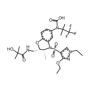 CCOc1nn(CC)cc1S(=O)(=O)N1c2cc(N(C(=O)O)C(C)(C)C(F)(F)F)ccc2O[C@@H](CNC(=O)C(C)(C)O)[C@H]1C